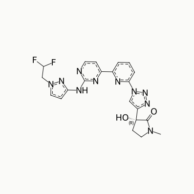 CN1CC[C@@](O)(c2cn(-c3cccc(-c4ccnc(Nc5ccn(CC(F)F)n5)n4)n3)nn2)C1=O